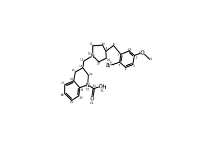 COc1ccc(Br)c(CC2CCN(CC3Cc4ccccc4N(C(=O)O)C3)CC2)c1